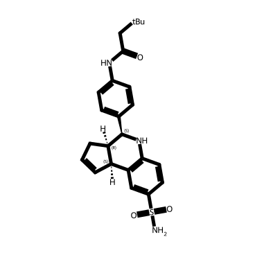 CC(C)(C)CC(=O)Nc1ccc([C@H]2Nc3ccc(S(N)(=O)=O)cc3[C@H]3C=CC[C@H]32)cc1